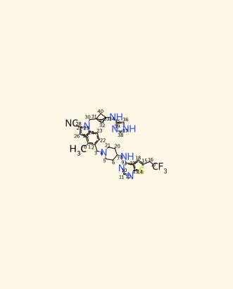 Cc1c(CN2CCC(Nc3ncnc4sc(CC(F)(F)F)cc34)CC2)ccc2c1cc(C#N)n2CC12CC(Nc3c[nH]cn3)(C1)C2